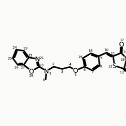 CN(CCCOc1ccc(/C=C2\SC(=O)NC2=O)cc1)c1nc2ccccc2o1